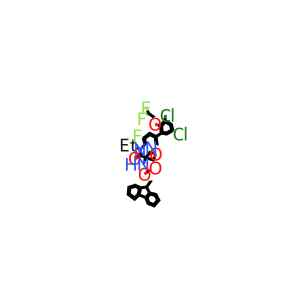 CCN(C(=O)C1(NC(=O)OCC2c3ccccc3-c3ccccc32)COC1)c1ncc(-c2cc(Cl)cc(Cl)c2OCC(F)F)cc1F